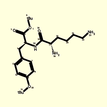 CC(C)(C)OC(=O)[C@H](Cc1ccc(OC(C)(C)C)cc1)NC(=O)[C@@H](N)CCCCN